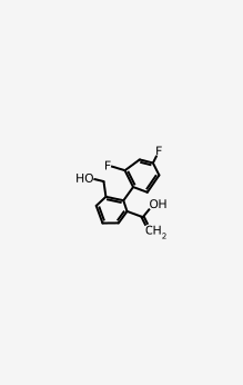 C=C(O)c1cccc(CO)c1-c1ccc(F)cc1F